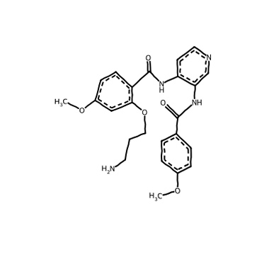 COc1ccc(C(=O)Nc2cnccc2NC(=O)c2ccc(OC)cc2OCCCN)cc1